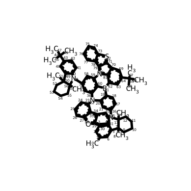 Cc1ccc2c(c1)C1(C)CCCCC1(C)N2c1ccc2c(c1)N(c1cccc3oc4ccccc4c13)c1cc(N3c4ccc(C(C)(C)C)cc4C4(C)CCCCC34C)cc3c1B2c1cc(C(C)(C)C)cc2c4sc5ccccc5c4n-3c12